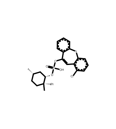 CC(C)[C@]1(C)CC[C@H](C)C[C@@H]1OP(=O)(O)OC1=Cc2c(Cl)cccc2Sc2ccccc21